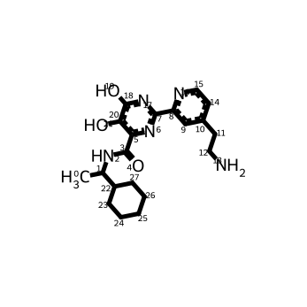 CC(NC(=O)c1nc(-c2cc(CCN)ccn2)nc(O)c1O)C1CCCCC1